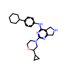 c1cc(C2CCCCC2)ccc1Nc1nc(N2CCOC(C3CC3)C2)nc2c1CNC2